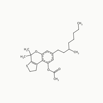 CCCCCC(C)CCc1cc(OC(C)=O)c2c(c1)OC(C)(C)C1=C2CCS1